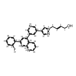 OC/C=C/Cn1cc(-c2cncc(-c3cc(-c4ccccc4F)nc4ncccc34)c2)cn1